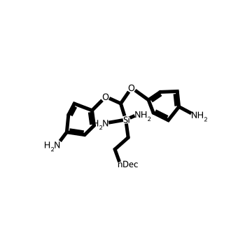 CCCCCCCCCCCC[Si](N)(N)C(Oc1ccc(N)cc1)Oc1ccc(N)cc1